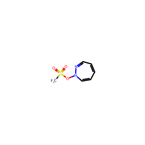 O=S(=O)(ON1C=CC=CC=N1)C(F)(F)F